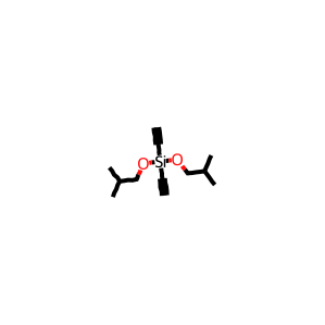 C#C[Si](C#C)(OCC(C)C)OCC(C)C